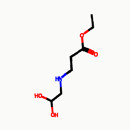 CCOC(=O)CCNCC(O)O